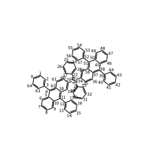 c1ccc(-c2c3ccccc3c(-c3ccccc3)c3cc([Si](c4ccccc4)(c4ccccc4)c4ccc5c(-c6ccccc6)c6ccccc6c(-c6ccccc6)c5c4)ccc23)cc1